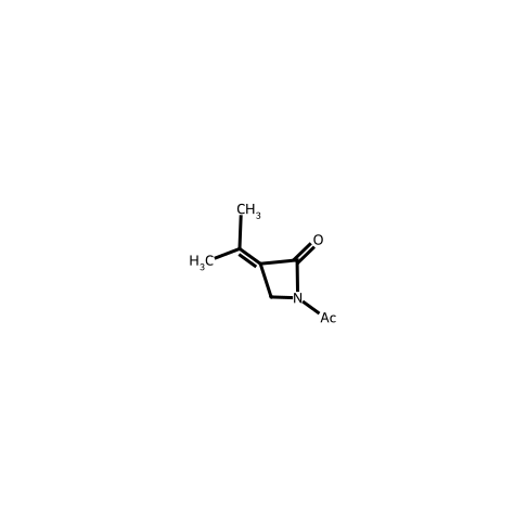 CC(=O)N1CC(=C(C)C)C1=O